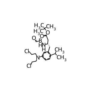 CC(C)c1ccc(N(CCCl)CCCl)cc1C[C@@H](CC(=O)OC(C)(C)C)NBC=O